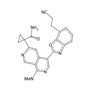 CNc1ncc(-c2nc3cccc(CCC#N)c3o2)c2cc(C3(C(N)=O)CC3)ncc12